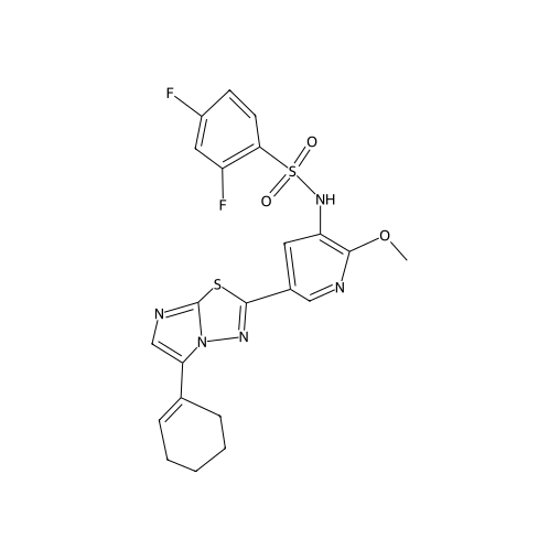 COc1ncc(-c2nn3c(C4=CCCCC4)cnc3s2)cc1NS(=O)(=O)c1ccc(F)cc1F